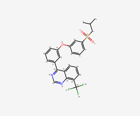 CC(C)CS(=O)(=O)c1cccc(Oc2cccc(-c3ncnc4c(C(F)(F)F)cccc34)c2)c1